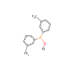 CCOP(c1cccc(C(F)(F)F)c1)c1cccc(C(F)(F)F)c1